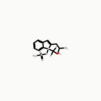 CC(C)CC1=Cc2ccccc2S1(OS(C)(=O)=O)C(F)(F)F